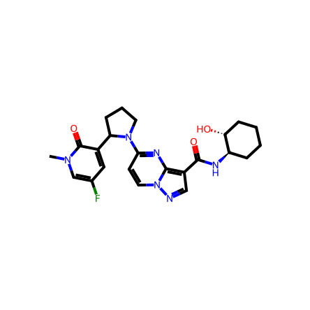 Cn1cc(F)cc(C2CCCN2c2ccn3ncc(C(=O)N[C@@H]4CCCC[C@H]4O)c3n2)c1=O